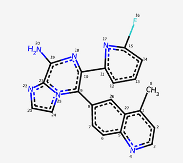 Cc1ccnc2ccc(-c3c(-c4cccc(F)n4)nc(N)c4nccn34)cc12